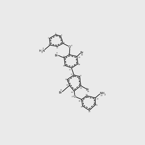 Nc1cccc(Oc2c(Br)cc(-c3cc(Br)c(Oc4cccc(N)c4)c(Br)c3)cc2Br)c1